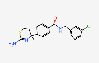 CC1(c2ccc(C(=O)NCc3cccc(Cl)c3)cc2)CCSC(N)=N1